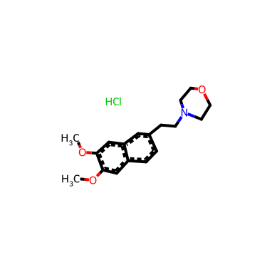 COc1cc2ccc(CCN3CCOCC3)cc2cc1OC.Cl